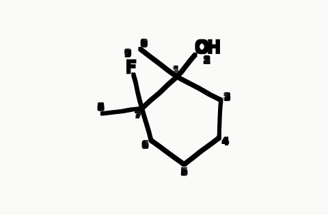 CC1(O)CCCCC1(C)F